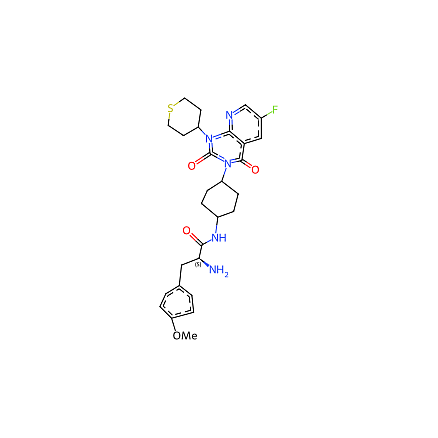 COc1ccc(C[C@H](N)C(=O)NC2CCC(n3c(=O)c4cc(F)cnc4n(C4CCSCC4)c3=O)CC2)cc1